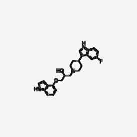 OC(COc1cccc2[nH]ccc12)CN1CCC(c2c[nH]c3ccc(F)cc23)CC1